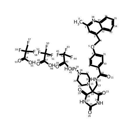 Cc1cc(COc2ccc(C(=O)NCC3(N4CCN(C(C)C)CC4)C(=O)NC(=O)NC3=O)cc2)c2ccccc2n1.O=C(O)C(F)(F)F.O=C(O)C(F)(F)F.O=C(O)C(F)(F)F